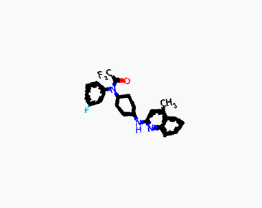 Cc1cc(NC2CCC(N(C(=O)C(F)(F)F)c3cccc(F)c3)CC2)nc2ccccc12